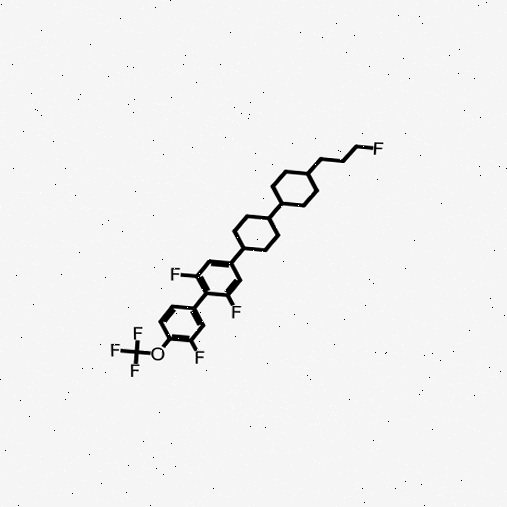 FCCCC1CCC(C2CCC(c3cc(F)c(-c4ccc(OC(F)(F)F)c(F)c4)c(F)c3)CC2)CC1